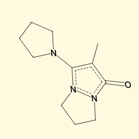 Cc1c(N2CCCC2)n2n(c1=O)CCC2